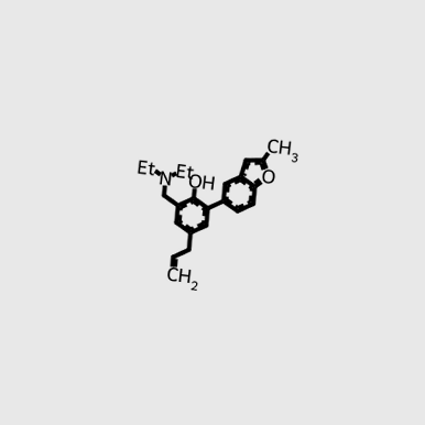 C=CCc1cc(CN(CC)CC)c(O)c(-c2ccc3oc(C)cc3c2)c1